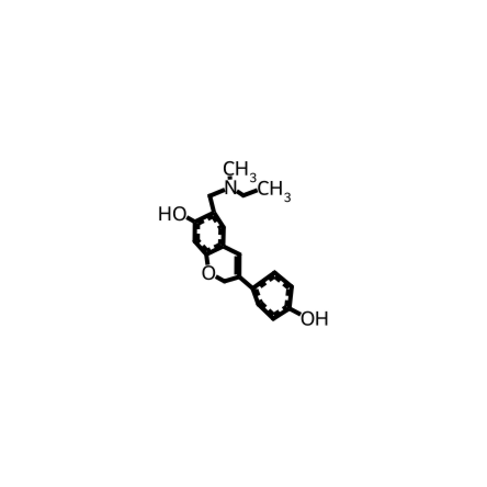 CCN(C)Cc1cc2c(cc1O)OCC(c1ccc(O)cc1)=C2